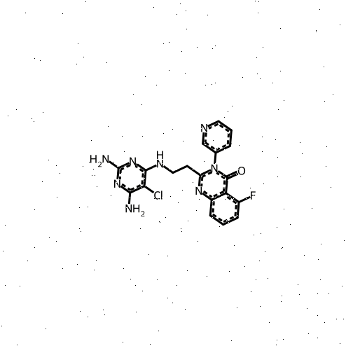 Nc1nc(N)c(Cl)c(NCCc2nc3cccc(F)c3c(=O)n2-c2cccnc2)n1